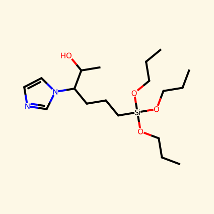 CCCO[Si](CCCC(C(C)O)n1ccnc1)(OCCC)OCCC